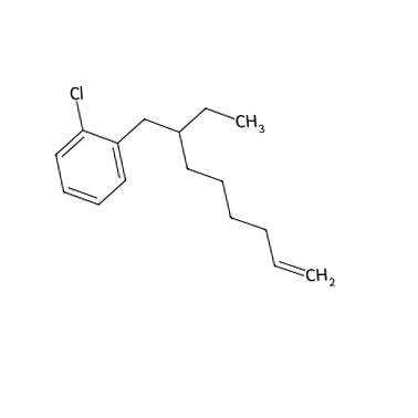 C=CCCCCC(CC)Cc1ccccc1Cl